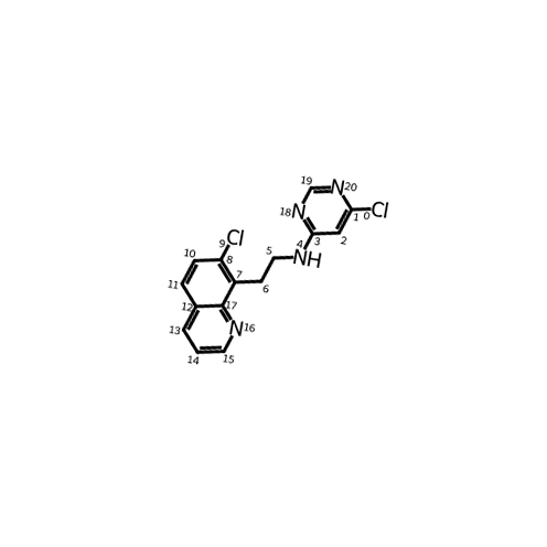 Clc1cc(NCCc2c(Cl)ccc3cccnc23)ncn1